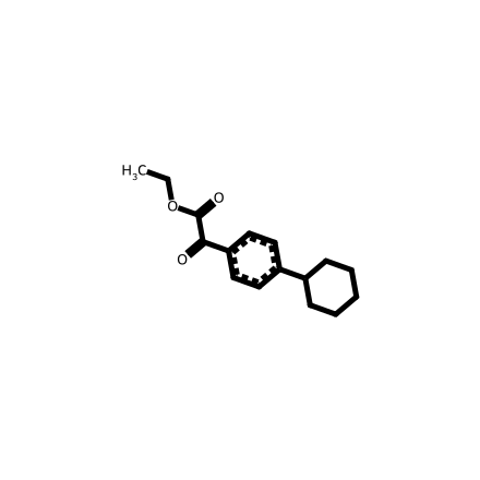 CCOC(=O)C(=O)c1ccc(C2CCCCC2)cc1